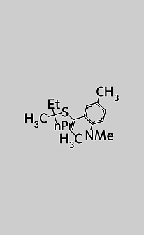 C/C=C(/SC(C)(CC)CCC)c1cc(C)ccc1NC